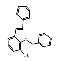 Cc1cccc(C=Cc2ccccc2)c1OCc1ccccc1